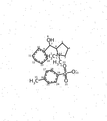 C[N+]1(C)CCCC1C(O)c1ccccc1.Cc1ccc(S(=O)(=O)[O-])cc1